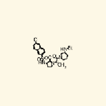 CCNC1CCCN(C(=O)[C@H](C)N2CC[C@H](NS(=O)(=O)c3ccc4cc(Cl)ccc4c3)C2=O)C1